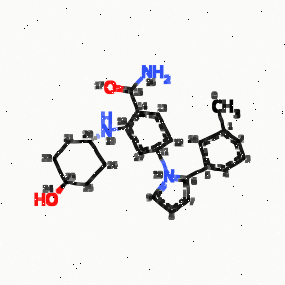 Cc1cccc(-c2cccn2-c2ccc(C(N)=O)c(N[C@H]3CC[C@H](O)CC3)c2)c1